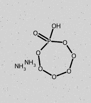 N.N.O=P1(O)OOOOOO1